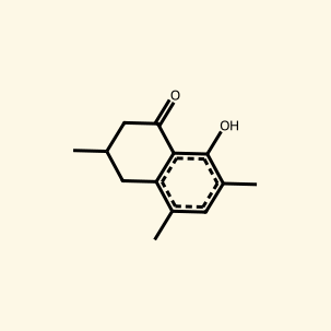 Cc1cc(C)c2c(c1O)C(=O)CC(C)C2